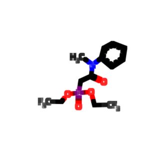 CN(C(=O)CP(=O)(OCC(F)(F)F)OCC(F)(F)F)c1ccccc1